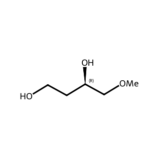 COC[C@H](O)CCO